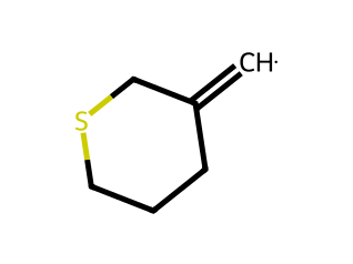 [CH]=C1CCCSC1